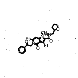 CCc1c(C(=O)NCC2CCCO2)n(C)c2cc(CC)n(CC(=O)c3ccccc3)c(=O)c12